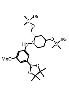 COc1cc(NN2CCC(O[Si](C)(C)C(C)(C)C)C[C@H]2CO[Si](C)(C)C(C)(C)C)cc(B2OC(C)(C)C(C)(C)O2)c1